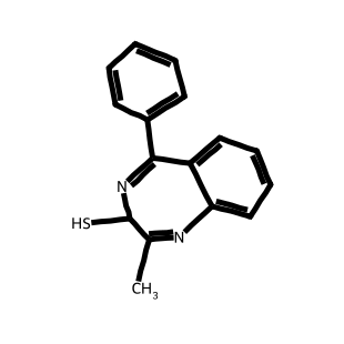 CC1=Nc2ccccc2C(c2ccccc2)=NC1S